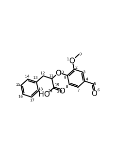 COc1cc(C=O)ccc1OC(Cc1ccccc1)C(=O)O